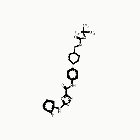 CC(C)(C)OC(=O)NC[C@H]1CC[C@H](c2ccc(NC(=O)c3nnc(Nc4ccccc4F)o3)cc2)CC1